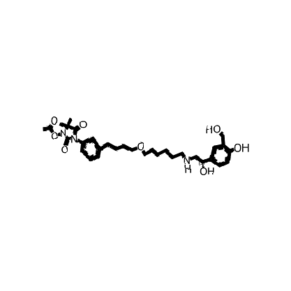 CC(=O)ON1C(=O)N(c2cccc(CCCCOCCCCCCNC[C@@H](O)c3ccc(O)c(CO)c3)c2)C(=O)C1(C)C